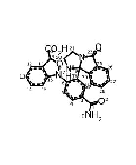 NC(=O)c1ccc(N2OC(C(=O)O)c3ccccc32)c(C23NCCN2C(=O)c2ccccc23)c1